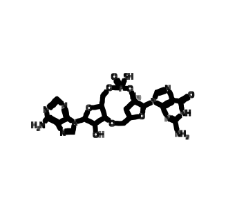 Nc1nc2c(ncn2C2OC3COC4C(COP(=O)(S)O[C@H]2C3)OC(n2cnc3c(N)ncnc32)C4O)c(=O)[nH]1